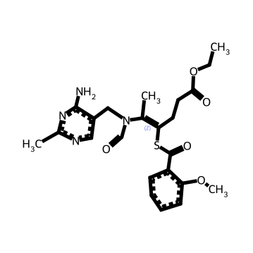 CCOC(=O)CC/C(SC(=O)c1ccccc1OC)=C(\C)N(C=O)Cc1cnc(C)nc1N